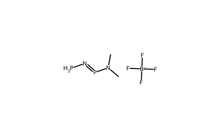 CN(C)P=NP.F[B-](F)(F)F